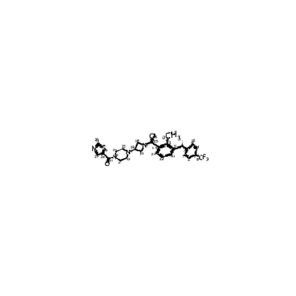 Cc1c(Cc2ccc(C(F)(F)F)cc2)cccc1C(=O)N1CC(N2CCN(C(=O)c3cncs3)CC2)C1